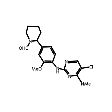 CNc1nc(Nc2ccc(C3CCCCN3C=O)cc2OC)ncc1Cl